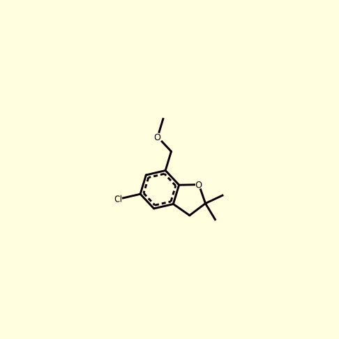 COCc1cc(Cl)cc2c1OC(C)(C)C2